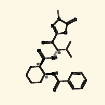 CC(C)[C@H](NC(=O)[C@@H]1CCCC[C@@H]1NC(=O)c1ccccc1)C(=O)c1nn(C)c(=O)o1